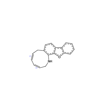 C1=C\CNc2c(ccc3c2oc2ccccc23)C\C=C/1